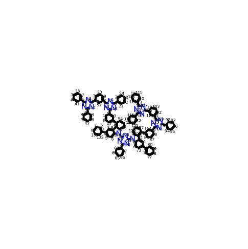 c1ccc(-c2ccc3c(c2)c2c(-c4cccc(-c5nc(-c6ccccc6)nc(-c6cccc(-c7nc(-c8ccccc8)nc(-c8ccccc8)n7)c6)n5)c4)cccc2n3-c2nc(-c3ccccc3)nc(-n3c4ccc(-c5ccccc5)cc4c4c(-c5cccc(-c6nc(-c7ccccc7)nc(-c7cccc(-c8nc(-c9ccccc9)nc(-c9ccccc9)n8)c7)n6)c5)cccc43)n2)cc1